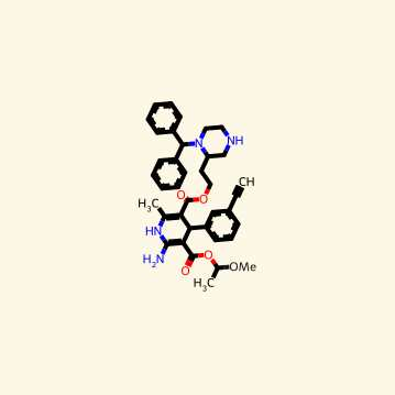 C#Cc1cccc(C2C(C(=O)OCCC3CNCCN3C(c3ccccc3)c3ccccc3)=C(C)NC(N)=C2C(=O)OC(C)OC)c1